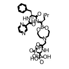 CC(C)C[C@H](NC(=O)[C@H](Cc1ccccc1)NC(=O)c1cnccn1)B1OCCN(CC(=O)NC(P(=O)(O)O)P(=O)(O)O)CCO1